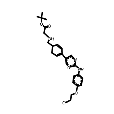 CC(C)(C)OC(=O)CNCC1C=CC(c2cnc(Nc3ccc(OCCCl)cc3)nc2)=CC1